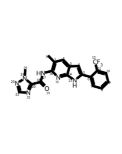 Cc1cc2cc(-c3ccccc3C(F)(F)F)[nH]c2nc1NC(=O)c1ncnn1C